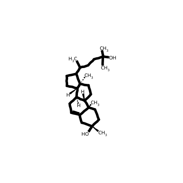 CC(CCC(C)(C)O)C1CC[C@H]2[C@@H]3CC=C4C[C@@](C)(O)CC[C@]4(C)[C@H]3CC[C@]12C